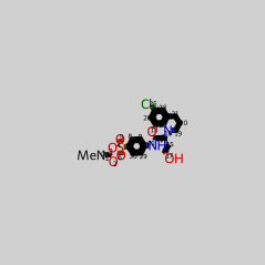 CNC(=O)OS(=O)(=O)c1ccc(NC(=O)[C@@H](CCO)N2CCCc3cc(Cl)ccc32)cc1